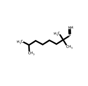 CC(C)CCCCC(C)(C)P=N